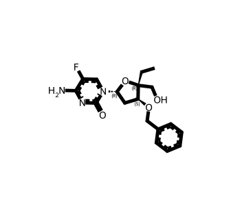 CC[C@]1(CO)O[C@@H](n2cc(F)c(N)nc2=O)C[C@@H]1OCc1ccccc1